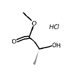 COC(=O)[C@@H](C)O.Cl